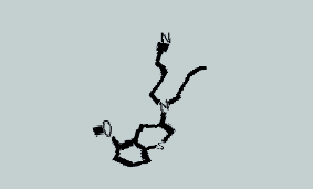 CCCN(CCCC#N)C1CSc2cccc(OC)c2C1